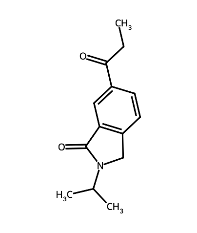 CCC(=O)c1ccc2c(c1)C(=O)N(C(C)C)C2